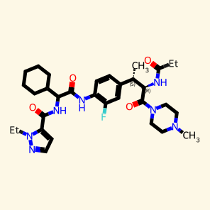 CCC(=O)N[C@@H](C(=O)N1CCN(C)CC1)[C@@H](C)c1ccc(NC(=O)C(NC(=O)c2ccnn2CC)C2CCCCC2)c(F)c1